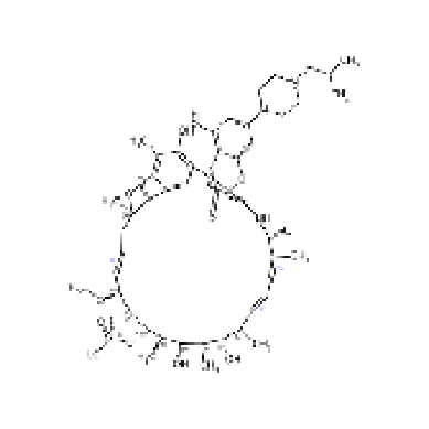 CO[C@H]1/C=C/C[C@@]2(C)Oc3c(C)c(O)c4c(=O)c(c5oc6cc(N7CCN(CC(C)C)CC7)cc(O)c6nc-5c4c3C2=O)NC(=O)/C(C)=C\C=C\[C@H](C)[C@H](O)[C@@H](C)[C@@H](O)[C@@H](C)[C@H](OC(C)=O)[C@@H]1C